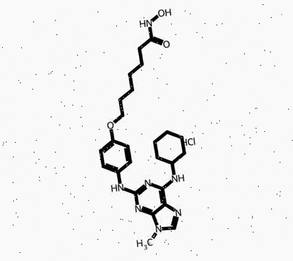 Cl.Cn1cnc2c(NC3CCCCC3)nc(Nc3ccc(OCCCCCCC(=O)NO)cc3)nc21